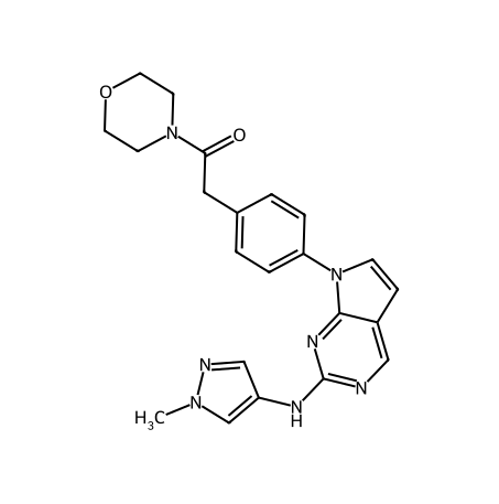 Cn1cc(Nc2ncc3ccn(-c4ccc(CC(=O)N5CCOCC5)cc4)c3n2)cn1